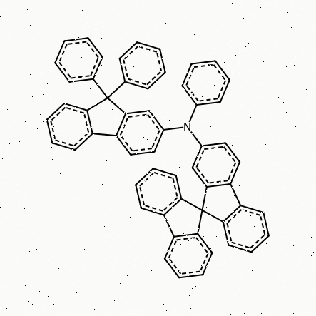 c1ccc(N(c2ccc3c(c2)C(c2ccccc2)(c2ccccc2)c2ccccc2-3)c2ccc3c(c2)C2(c4ccccc4-c4ccccc42)c2ccccc2-3)cc1